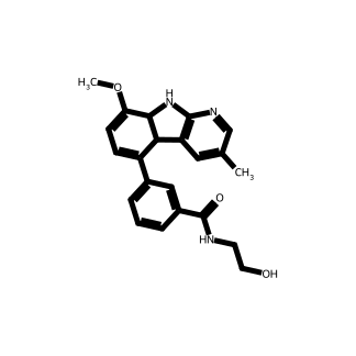 COC1=CC=C(c2cccc(C(=O)NCCO)c2)C2c3cc(C)cnc3NC12